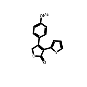 COc1ccc(C2=C(c3cccs3)C(=O)OC2)cc1